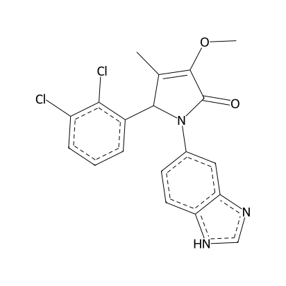 COC1=C(C)C(c2cccc(Cl)c2Cl)N(c2ccc3[nH]cnc3c2)C1=O